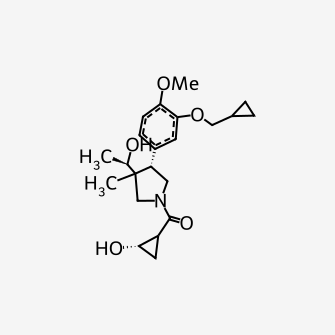 COc1ccc([C@@H]2CN(C(=O)C3C[C@@H]3O)CC2(C)[C@@H](C)O)cc1OCC1CC1